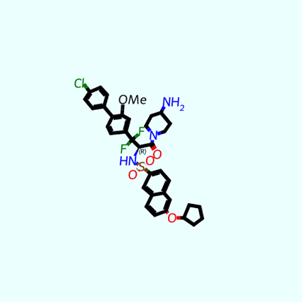 COc1cc(C(F)(F)[C@H](NS(=O)(=O)c2ccc3cc(OC4CCCC4)ccc3c2)C(=O)N2CCC(N)CC2)ccc1-c1ccc(Cl)cc1